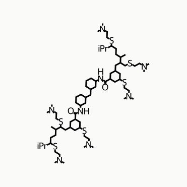 CC(C)C(CCC(C)C(CSCCN(C)C)CC1CC(SCCN(C)C)CC(C(=O)NC2CCCC(CC3CCCC(NC(=O)C4CC(CC(SCCN(C)C)C(C)CCC(SCCN(C)C)C(C)C)CC(SCCN(C)C)C4)C3)C2)C1)SCCN(C)C